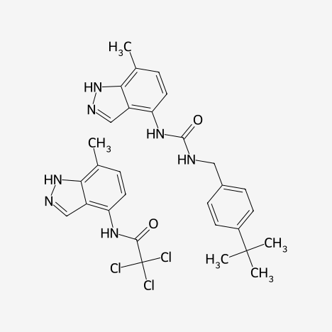 Cc1ccc(NC(=O)C(Cl)(Cl)Cl)c2cn[nH]c12.Cc1ccc(NC(=O)NCc2ccc(C(C)(C)C)cc2)c2cn[nH]c12